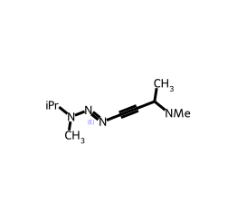 CNC(C)C#C/N=N/N(C)C(C)C